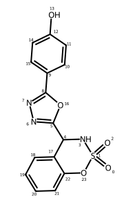 O=S1(=O)NC(c2nnc(-c3ccc(O)cc3)o2)c2ccccc2O1